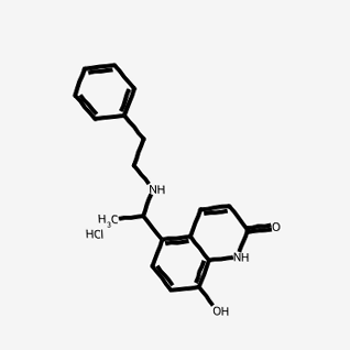 CC(NCCc1ccccc1)c1ccc(O)c2[nH]c(=O)ccc12.Cl